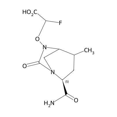 CC1C[C@@H](C(N)=O)N2CC1N(OC(F)C(=O)O)C2=O